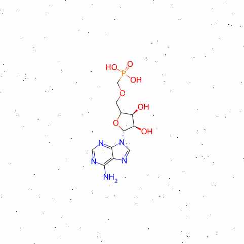 Nc1ncnc2c1ncn2[C@@H]1OC(COCP(=O)(O)O)[C@@H](O)[C@H]1O